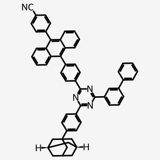 N#Cc1ccc(-c2c3ccccc3c(-c3ccc(-c4nc(-c5ccc(C67CC8C[C@H](C6)C[C@@H](C8)C7)cc5)nc(-c5cccc(-c6ccccc6)c5)n4)cc3)c3ccccc23)cc1